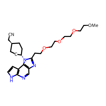 COCCOCCOCCOCCc1nc2cnc3[nH]ccc3c2n1[C@H]1CC[C@H](CC#N)CC1